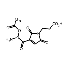 NN(OC(=O)C(F)(F)F)C(=O)C1=CC(=O)N(CCC(=O)O)C1=O